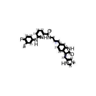 O=C1Nc2cc(/C=C/CNC(=O)c3cccc(Nc4ccc(F)c(F)c4)n3)ccc2/C1=C/c1cnc[nH]1